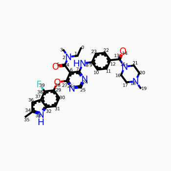 CCN(C)C(=O)c1c(Nc2ccc(C(=O)N3CCN(C)CC3)cc2)ncnc1Oc1ccc2[nH]c(C)cc2c1F